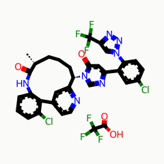 C[C@@H]1CCC[C@H](n2cnc(-c3cc(Cl)ccc3-n3cc(C(F)(F)F)nn3)cc2=O)c2cc(ccn2)-c2c(Cl)cccc2NC1=O.O=C(O)C(F)(F)F